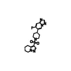 O=S(=O)(c1cnn2c1CCCC2)N1CCC(c2cn3ncnc3cc2F)CC1